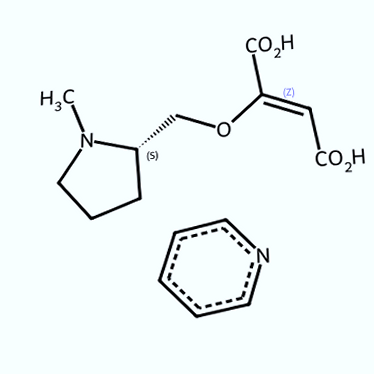 CN1CCC[C@H]1CO/C(=C\C(=O)O)C(=O)O.c1ccncc1